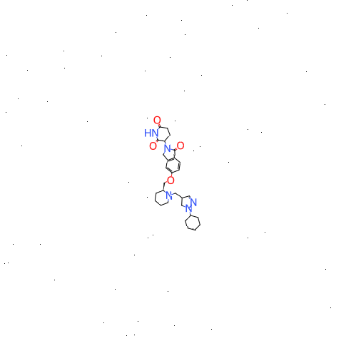 O=C1CCC(N2Cc3cc(OC[C@@H]4CCCCN4CC4C=NN(C5CCCCC5)C4)ccc3C2=O)C(=O)N1